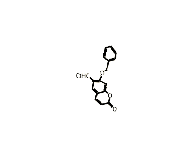 O=Cc1cc2ccc(=O)oc2cc1OCc1ccccc1